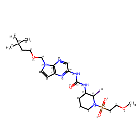 COCCS(=O)(=O)N1CCCC(NC(=O)Nc2cnc3c(ccn3COCC[Si](C)(C)C)n2)C1I